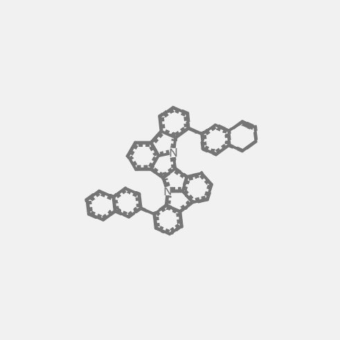 C1=Cc2cc(-c3cccc4c5cccc6c5n(c34)c3c4cccc5c7cccc(-c8ccc9ccccc9c8)c7n(c54)c63)ccc2CC1